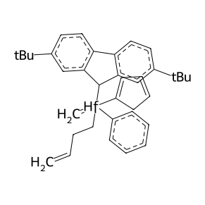 C=CC[CH2][Hf](=[CH2])([C]1=CC=CC1)([c]1ccccc1)[CH]1c2cc(C(C)(C)C)ccc2-c2ccc(C(C)(C)C)cc21